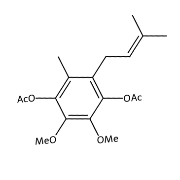 COc1c(OC(C)=O)c(C)c(CC=C(C)C)c(OC(C)=O)c1OC